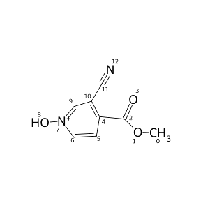 COC(=O)c1cc[n+](O)cc1C#N